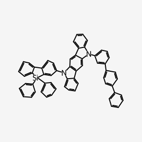 c1ccc(-c2ccc(-c3cccc(-n4c5ccccc5c5cc6c(cc54)c4ccccc4n6-c4ccc5c(c4)[Si](c4ccccc4)(c4ccccc4)c4ccccc4-5)c3)cc2)cc1